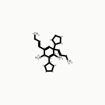 CC/C=C/C1=CC(/C=C/CC)(C2CCCC2)C(N)=C(C2CCCC2)C1N